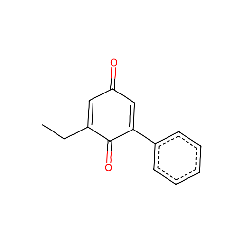 CCC1=CC(=O)C=C(c2ccccc2)C1=O